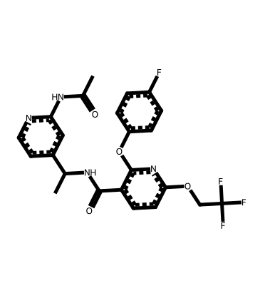 CC(=O)Nc1cc(C(C)NC(=O)c2ccc(OCC(F)(F)F)nc2Oc2ccc(F)cc2)ccn1